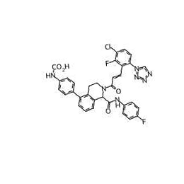 O=C(O)Nc1ccc(-c2cccc3c2CCN(C(=O)C=Cc2c(-n4cnnn4)ccc(Cl)c2F)C3C(=O)Nc2ccc(F)cc2)cc1